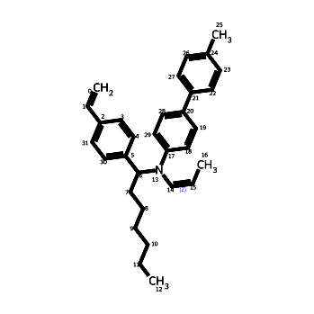 C=Cc1ccc(C(CCCCCC)N(/C=C\C)c2ccc(-c3ccc(C)cc3)cc2)cc1